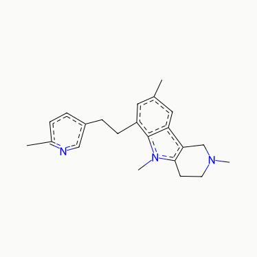 Cc1cc(CCc2ccc(C)nc2)c2c(c1)c1c(n2C)CCN(C)C1